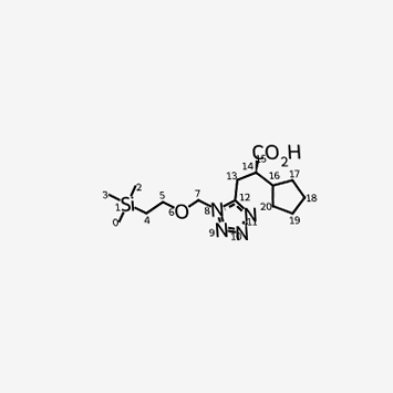 C[Si](C)(C)CCOCn1nnnc1C[C@@H](C(=O)O)C1CCCC1